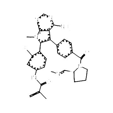 C=C(C)C(=O)Nc1ccc(-c2c(-c3ccc(C(=O)N4CCC[C@H]4C=NC)cc3)c3c(N)ncnc3n2C)c(F)c1